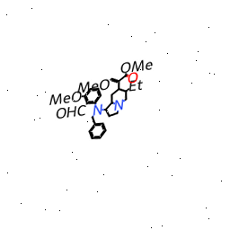 CCC1CN2CCC(N(Cc3ccccc3)c3cccc(OC)c3C=O)C2CC1/C(=C\OC)C(=O)OC